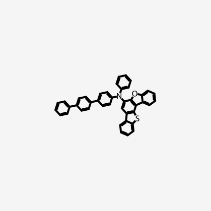 c1ccc(-c2ccc(-c3ccc(N(c4ccccc4)c4cc5c6ccccc6sc5c5c4oc4ccccc45)cc3)cc2)cc1